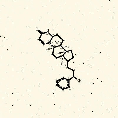 CC(CCC1CC[C@H]2[C@@H]3CCC4NC(=O)C=C[C@]4(C)[C@@H]3CC[C@]12C)c1ccccn1